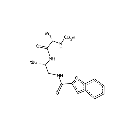 CCOC(=O)N[C@H](C(=O)N[C@H](CNC(=O)c1cc2ccccc2o1)C(C)(C)C)C(C)C